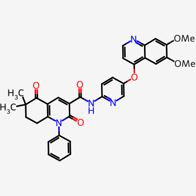 COc1cc2nccc(Oc3ccc(NC(=O)c4cc5c(n(-c6ccccc6)c4=O)CCC(C)(C)C5=O)nc3)c2cc1OC